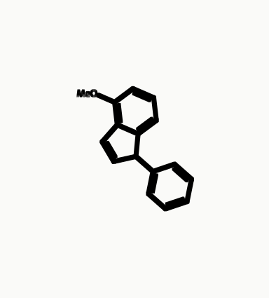 COc1cccc2c1C=CC2c1ccccc1